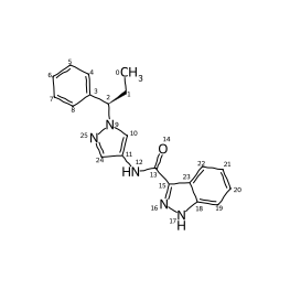 CC[C@H](c1ccccc1)n1cc(NC(=O)c2n[nH]c3ccccc23)cn1